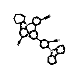 N#Cc1ccc(-n2c3c(c4cc(C#N)ccc42)CCCC=C3)c(-c2cccc(-c3ccc(-n4c5ccccc5c5ccccc54)c(C#N)c3)c2)c1